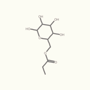 CCC(=O)OCC1OC(O)C(O)C(O)C1O